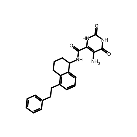 Nc1c(C(=O)NC2CCCc3c(CCc4ccccc4)cccc32)[nH]c(=O)[nH]c1=O